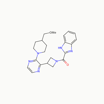 COCC1CCN(c2nccnc2C2CN(C(=O)c3nc4ccccc4[nH]3)C2)CC1